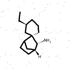 CC[C@H]1CCC[C@@]2(C1)C1CC[C@H](C1)[C@H]2N